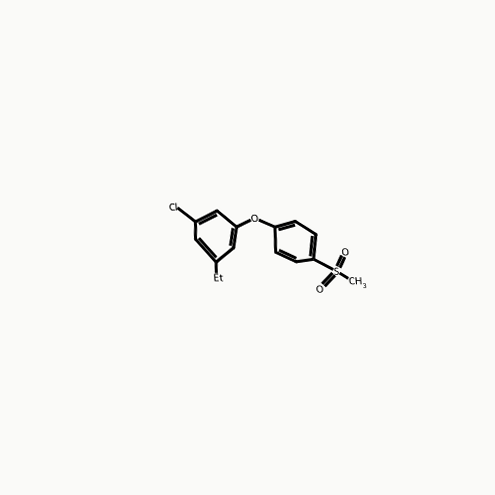 CCc1cc(Cl)cc(Oc2ccc(S(C)(=O)=O)cc2)c1